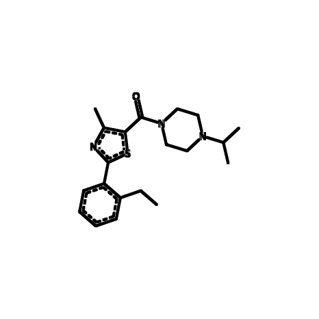 CCc1ccccc1-c1nc(C)c(C(=O)N2CCN(C(C)C)CC2)s1